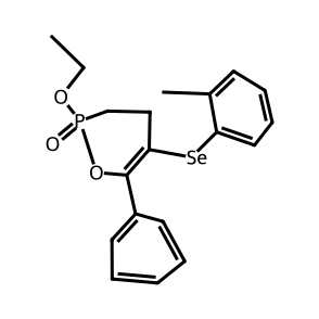 CCOP1(=O)CCC([Se]c2ccccc2C)=C(c2ccccc2)O1